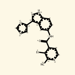 CCc1c(C(=O)Nc2ccc3[nH]nc(-c4cnco4)c3c2)ccnc1C#N